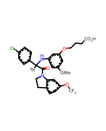 [2H]C(Nc1cc(OC)cc(OCCCC(=O)O)c1)(C(=O)N1CCc2ccc(OC(F)(F)F)cc21)c1ccc(Cl)cc1